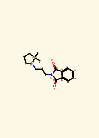 C[Si]1(C)CCCN1CCCN1C(=O)c2ccccc2C1=O